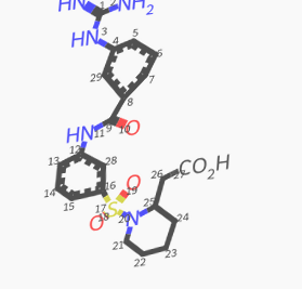 N=C(N)Nc1cccc(C(=O)Nc2cccc(S(=O)(=O)N3CCCCC3CC(=O)O)c2)c1